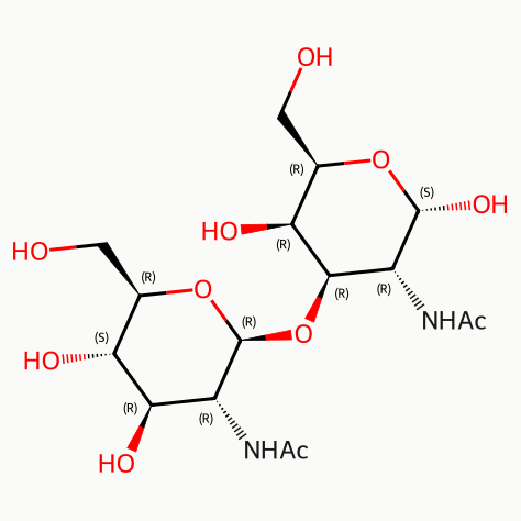 CC(=O)N[C@@H]1[C@@H](O[C@@H]2O[C@H](CO)[C@@H](O)[C@H](O)[C@H]2NC(C)=O)[C@@H](O)[C@@H](CO)O[C@@H]1O